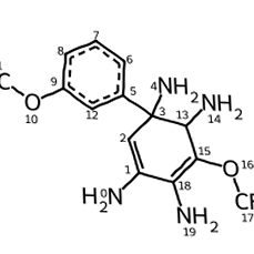 NC1=CC(N)(c2cccc(OC(F)(F)F)c2)C(N)C(OC(F)(F)F)=C1N